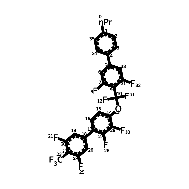 CCCc1ccc(-c2cc(F)c(C(F)(F)Oc3ccc(-c4cc(F)c(C(F)(F)F)c(F)c4)c(F)c3F)c(F)c2)cc1